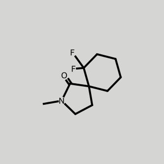 CN1CCC2(CCCCC2(F)F)C1=O